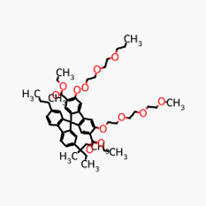 CCCOCCOCCOOc1cc2c(cc1C(=O)OCC)C1(c3cc(C(C)CC)ccc3-c3ccc(C(C)(CC)CC)cc31)c1cc(C(=O)OCC)c(OCCOCCOCCOC)cc1-2